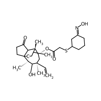 C=C[C@]1(C)C[C@@H](OC(=O)CSC2CCCC(=NO)C2)[C@]2(C)C(C)CCC3(CCC(=O)C32)[C@@H](C)C1O